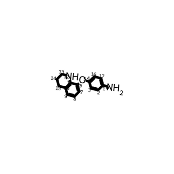 Nc1ccc(Oc2cccc3c2NCCC3)cc1